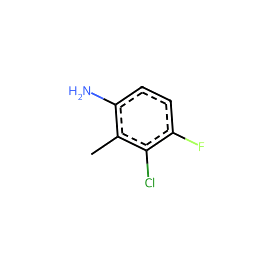 Cc1c(N)ccc(F)c1Cl